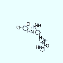 CC(Nc1cc(N2CCN(C(=O)[C@H]3CCCN3)[C@H](C)C2)ccc1N=N)c1ccc(Cl)cc1Cl